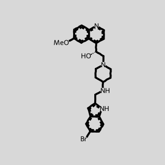 COc1ccc2nccc([C@@H](O)CN3CCC(NCc4cc5cc(Br)ccc5[nH]4)CC3)c2c1